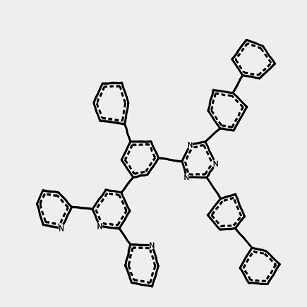 c1ccc(-c2ccc(-c3nc(-c4ccc(-c5ccccc5)cc4)nc(-c4cc(-c5ccccc5)cc(-c5cc(-c6ccccn6)nc(-c6ccccn6)c5)c4)n3)cc2)cc1